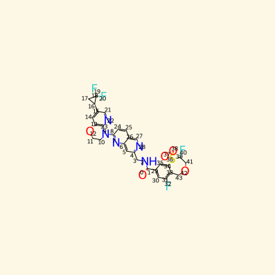 O=C(NCc1cc2nc(N3CCOc4cc([C@H]5CC5(F)F)cnc43)ccc2cn1)c1cc(F)c2c(c1)S(=O)(=O)[C@@H](F)COC2